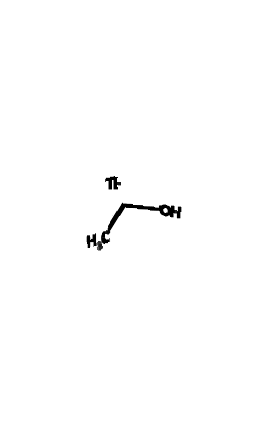 CCO.[Tl]